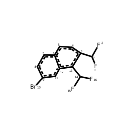 FC(F)c1ccc2ccc(Br)cc2c1C(F)F